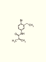 C=C(C)C(=O)Nc1ccc(Br)c(CC)c1